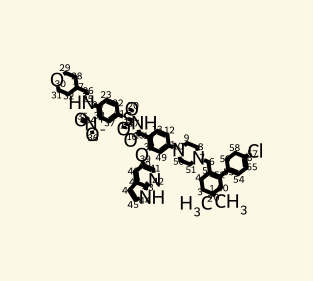 CC1(C)CCC(CN2CCN(c3ccc(C(=O)NS(=O)(=O)c4ccc(NCC5CCOCC5)c([N+](=O)[O-])c4)c(Oc4cnc5[nH]ccc5c4)c3)CC2)=C(C2=CC=C(Cl)CC2)C1